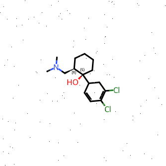 CN(C)C[C@H]1CCCC[C@]1(O)C1C=CC(Cl)=C(Cl)C1